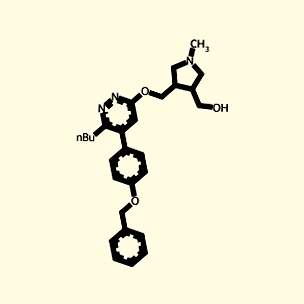 CCCCc1nnc(OCC2CN(C)CC2CO)cc1-c1ccc(OCc2ccccc2)cc1